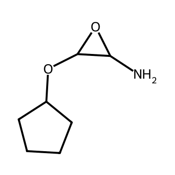 NC1OC1OC1CCCC1